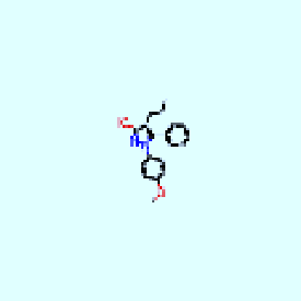 CCCc1c(O)nn(-c2ccc(OC)cc2)c1-c1ccccc1